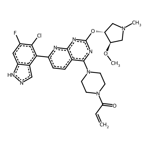 C=CC(=O)N1CCN(c2nc(O[C@@H]3CN(C)C[C@H]3OC)nc3nc(-c4c(Cl)c(F)cc5[nH]ncc45)ccc23)CC1